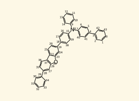 c1ccc(-c2ccc(N(c3ccccc3)c3ccc(-c4ccc5c(c4)oc4cc(-c6ccccc6)ccc45)cc3)cc2)cc1